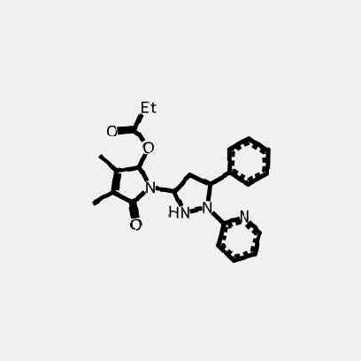 CCC(=O)OC1C(C)=C(C)C(=O)N1C1CC(c2ccccc2)N(c2ccccn2)N1